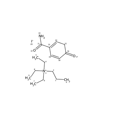 CCC[N+](CC)(CC)CC.NC(=O)C1=CCC(=O)C=C1.[I-]